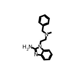 CN(CCn1c(N)nc2ccccc21)Cc1ccccc1